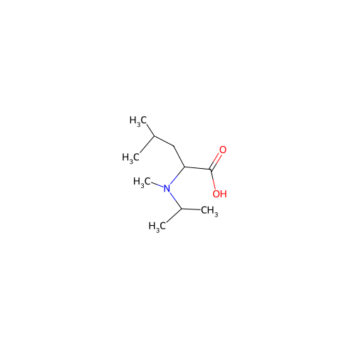 CC(C)CC(C(=O)O)N(C)C(C)C